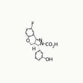 O=C(O)N1N=C2c3cc(F)ccc3OC[C@@H]2[C@H]1c1cccc(O)c1